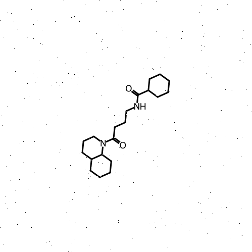 O=C(NCCCC(=O)N1CCCC2CCCCC21)C1CCCCC1